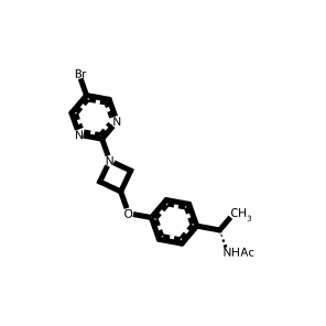 CC(=O)N[C@@H](C)c1ccc(OC2CN(c3ncc(Br)cn3)C2)cc1